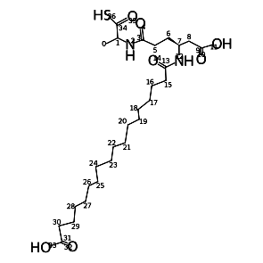 CC(NC(=O)CC[C@@H](CC(=O)O)NC(=O)CCCCCCCCCCCCCCCCC(=O)O)C(=O)S